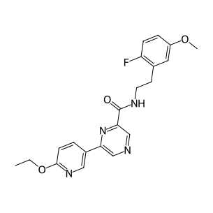 CCOc1ccc(-c2cncc(C(=O)NCCc3cc(OC)ccc3F)n2)cn1